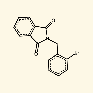 O=C1c2ccccc2C(=O)N1Cc1ccccc1Br